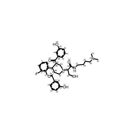 Cc1c(F)cccc1C1[C@@H](C(=O)c2cccc(O)c2)CN(C(CO)C(=O)NCCCCN(C)C)C[C@@H]1C(=O)c1cccc(O)c1